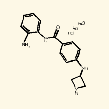 Cl.Cl.Cl.Nc1ccccc1NC(=O)c1ccc(NC2CNC2)cc1